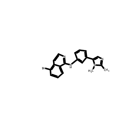 Cc1ncc(-c2cccc(Nc3nccc4c(Br)cccc34)c2)n1C